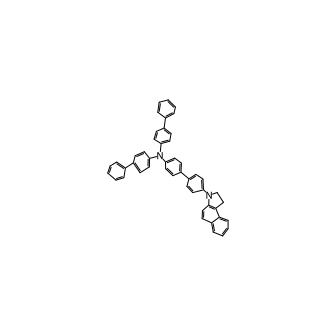 c1ccc(-c2ccc(N(c3ccc(-c4ccccc4)cc3)c3ccc(-c4ccc(N5CCc6c5ccc5ccccc65)cc4)cc3)cc2)cc1